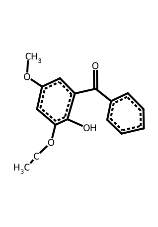 CCOc1cc(OC)cc(C(=O)c2ccccc2)c1O